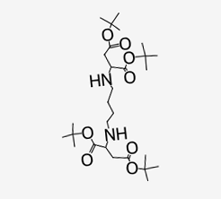 CC(C)(C)OC(=O)CC(NCCCCNC(CC(=O)OC(C)(C)C)C(=O)OC(C)(C)C)C(=O)OC(C)(C)C